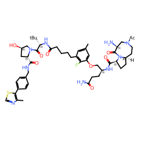 CC(=O)N1CC[C@H]2CC[C@@H](C(=O)N[C@@H](CCC(N)=O)COc3cc(C)cc(CCCCC(=O)N[C@H](C(=O)N4C[C@H](O)C[C@H]4C(=O)NCc4ccc(-c5scnc5C)cc4)C(C)(C)C)c3F)N2C(=O)[C@@H](N)C1